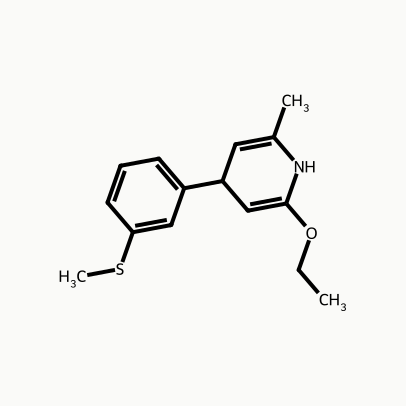 CCOC1=CC(c2cccc(SC)c2)C=C(C)N1